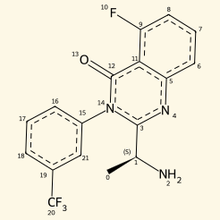 C[C@H](N)c1nc2cccc(F)c2c(=O)n1-c1cccc(C(F)(F)F)c1